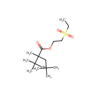 CCS(=O)(=O)CCOC(=O)C(C)(CC(C)(C)C)C(C)(C)C